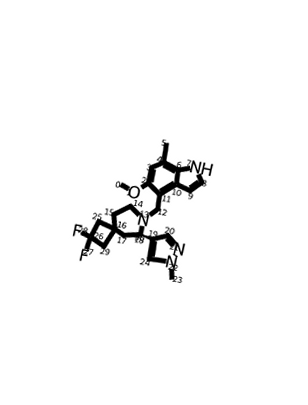 COc1cc(C)c2[nH]ccc2c1CN1CCC2(C[C@@H]1c1cnn(C)c1)CC(F)(F)C2